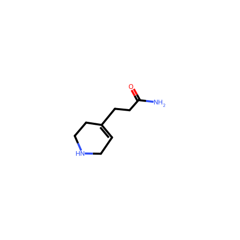 NC(=O)CCC1=CCNCC1